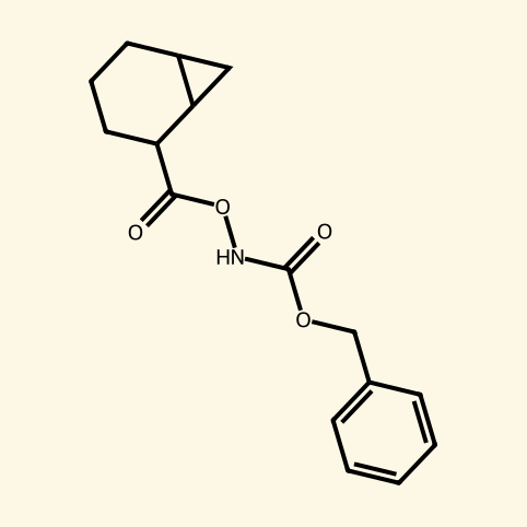 O=C(NOC(=O)C1CCCC2CC21)OCc1ccccc1